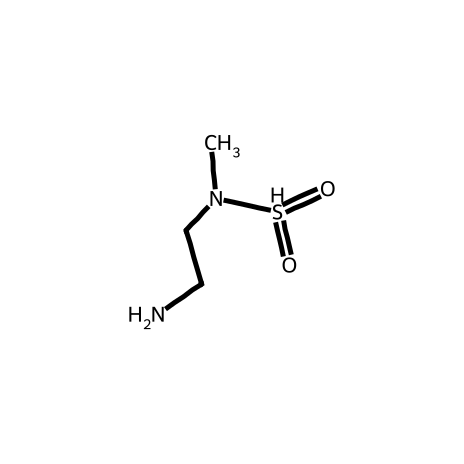 CN(CCN)[SH](=O)=O